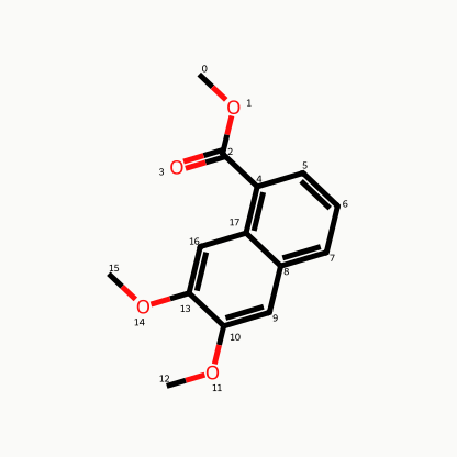 COC(=O)c1cccc2cc(OC)c(OC)cc12